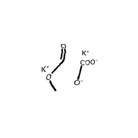 COC=O.O=C([O-])[O-].[K+].[K+]